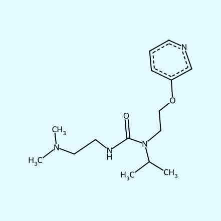 CC(C)N(CCOc1cccnc1)C(=O)NCCN(C)C